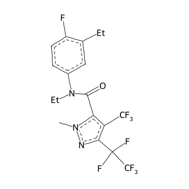 CCc1cc(N(CC)C(=O)c2c(C(F)(F)F)c(C(F)(F)C(F)(F)F)nn2C)ccc1F